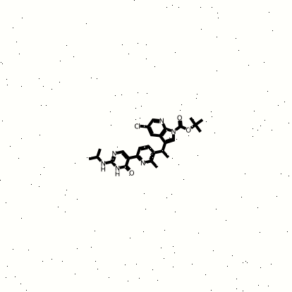 Cc1nc(-c2cnc(NC(C)C)[nH]c2=O)ccc1C(C)c1cn(C(=O)OC(C)(C)C)c2ncc(Cl)cc12